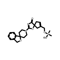 CC(C)(C)[Si](C)(C)OCC1=CCC2(C1)OC(N1CCC3(CC1)OCc1ccccc13)=NC2=O